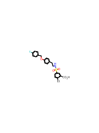 CCc1ccc(S(=O)(=O)NCCc2ccc(OCc3ccc(F)cc3)cc2)cc1C(=O)O